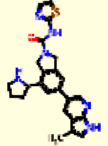 Cc1c[nH]c2ncc(-c3cc4c(c(C5CCCN5)c3)CN(C(=O)Nc3nccs3)C4)cc12